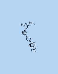 NCC(N)CCn1nnc(N2CCN(c3ncc(C(F)(F)F)cn3)CC2)n1